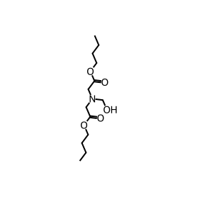 CCCCOC(=O)CN(CO)CC(=O)OCCCC